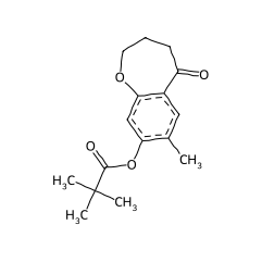 Cc1cc2c(cc1OC(=O)C(C)(C)C)OCCCC2=O